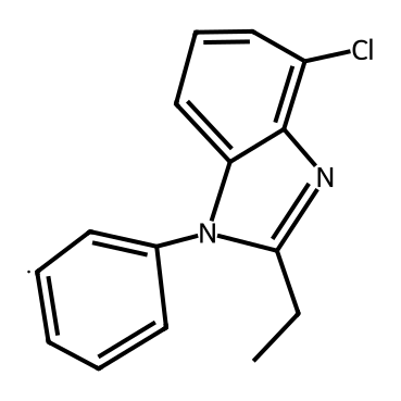 CCc1nc2c(Cl)cccc2n1-c1c[c]ccc1